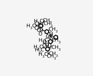 Cc1cc(C(C)c2cc(C(C)(C)C)cc(C(C)(C)C)c2OC=O)cc(C)c1OP(Oc1c(C)cc(C2C(=O)Oc3c2cc(C(C)(C)C)cc3C(C)(C)C)cc1C)c1ccccc1